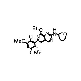 CCOc1nc(-c2c(Cl)c(OC)cc(OC)c2Cl)cc2cnc(NC3CCCOC3)nc12